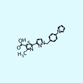 Cc1nc(-c2ccn(Cc3ccc(-n4cccc4)cc3)n2)sc1C(=O)O